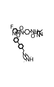 Cc1cc(C(=O)NC2CCC(NC(=O)c3cc(F)cnc3Oc3cccc(-c4ccc(CCN5C[C@@H](C)N[C@@H](C)C5)cc4)c3)CC2)nn1C